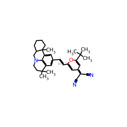 CC(C)(C)C1=CC(=C(C#N)C#N)C=C(/C=C/c2cc3c4c(c2)C2(C)CCCCC2CN4CCC3(C)C)O1